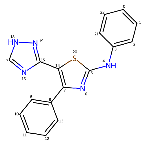 c1ccc(Nc2nc(-c3ccccc3)c(-c3nc[nH]n3)s2)cc1